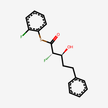 O=C(Sc1ccccc1F)[C@@H](F)[C@@H](O)CCc1ccccc1